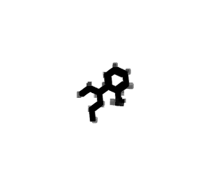 CCCC(CC)c1ccccc1Br